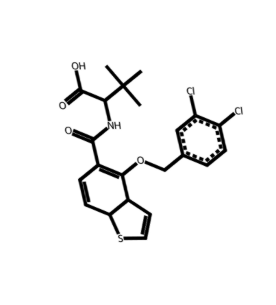 CC(C)(C)C(NC(=O)C1=C(OCc2ccc(Cl)c(Cl)c2)C2C=CSC2C=C1)C(=O)O